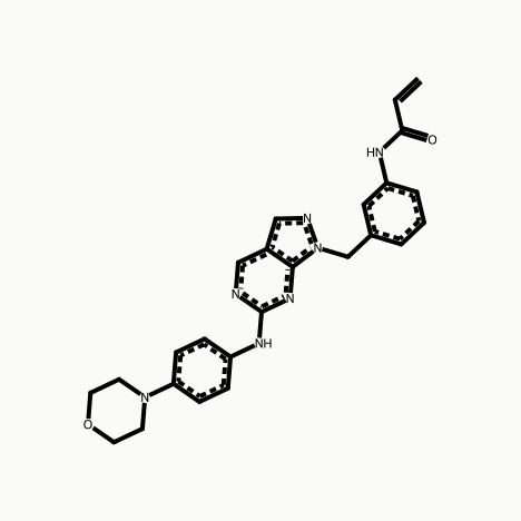 C=CC(=O)Nc1cccc(Cn2ncc3cnc(Nc4ccc(N5CCOCC5)cc4)nc32)c1